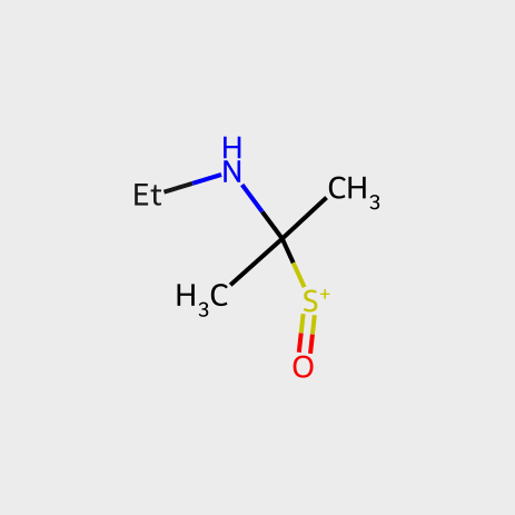 CCNC(C)(C)[S+]=O